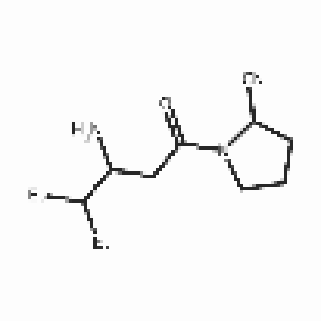 CCC(CC)C(N)CC(=O)N1CCCC1C#N